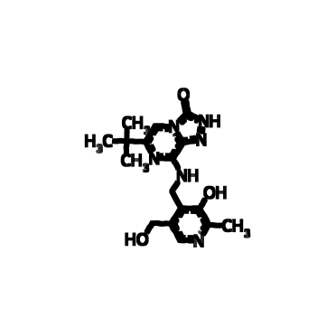 Cc1ncc(CO)c(CNc2nc(C(C)(C)C)cn3c(=O)[nH]nc23)c1O